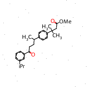 COC(=O)CC(C)(C)c1ccc(C(C)CCC(=O)c2cccc(C(C)C)c2)cc1